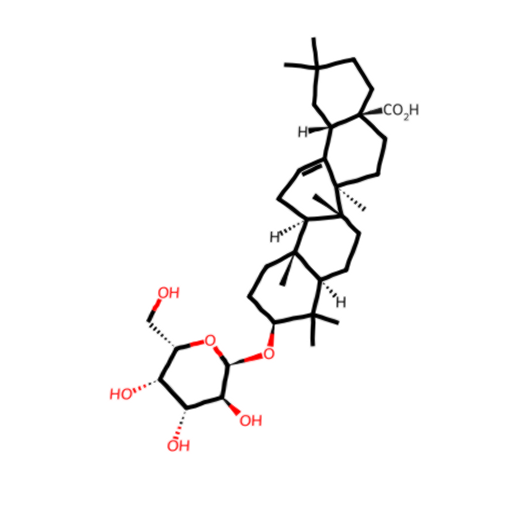 CC1(C)CC[C@]2(C(=O)O)CC[C@]3(C)C(=CC[C@@H]4[C@@]5(C)CC[C@H](O[C@@H]6O[C@@H](CO)[C@@H](O)[C@@H](O)[C@@H]6O)C(C)(C)[C@@H]5CC[C@]43C)[C@@H]2C1